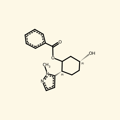 Cn1nccc1[C@H]1CC[C@@H](O)CC1OC(=O)c1ccccc1